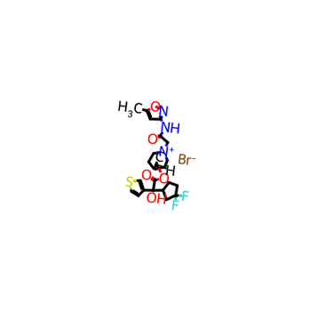 Cc1cc(NC(=O)C[N+]23CCC(CC2)[C@@H](OC(=O)C(O)(c2ccsc2)C2CCC(F)(F)C2)C3)no1.[Br-]